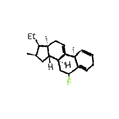 CC[C@@H]1[C@H](C)C[C@H]2[C@@H]3C[C@H](F)C4=CCC=C[C@]4(C)C3=CC[C@]12C